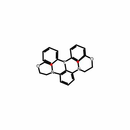 c1ccc(P(c2ccccc2)c2c(N3CCOCC3)cccc2N2CCOCC2)cc1